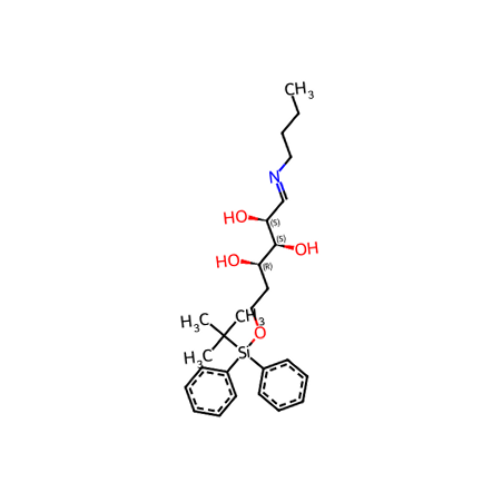 CCCCN=C[C@H](O)[C@@H](O)[C@H](O)CCO[Si](c1ccccc1)(c1ccccc1)C(C)(C)C